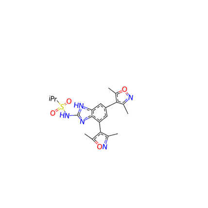 Cc1noc(C)c1-c1cc(-c2c(C)noc2C)c2nc(NS(=O)(=O)C(C)C)[nH]c2c1